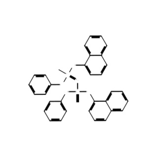 C=P(N=P(C)(Oc1ccccc1)Oc1cccc2ccccc12)(Oc1ccccc1)Oc1cccc2ccccc12